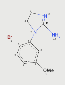 Br.COc1cccc(N2CCN=C2N)c1